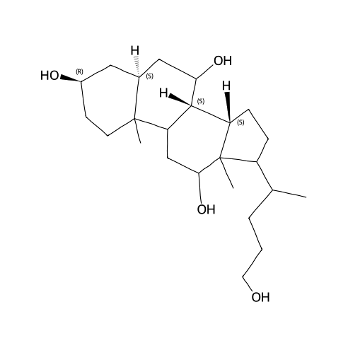 CC(CCCO)C1CC[C@H]2[C@H]3C(O)C[C@@H]4C[C@H](O)CCC4(C)C3CC(O)C12C